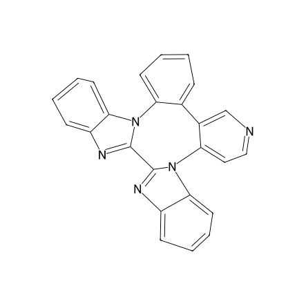 c1ccc2c(c1)nc1c3nc4ccccc4n3c3ccncc3c3ccccc3n21